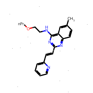 CCCOCCNc1nc(C=Cc2ccccn2)nc2ccc(C)cc12